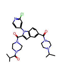 CC(C)C(=O)N1CCN(C(=O)c2cc3cc(C(=O)N4CCN(C(C)C)CC4)ccc3n2-c2ccnc(Cl)c2)CC1